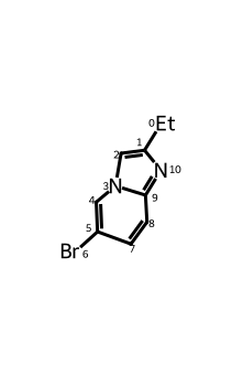 CCc1cn2cc(Br)ccc2n1